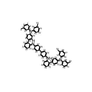 Cc1cccc(N(c2ccc(-c3ccccc3Nc3ccc(-c4ccc(Nc5ccccc5-c5ccc(N(c6cccc(C)c6)c6cccc(C)c6)cc5)cc4)cc3)cc2)c2cccc(C)c2)c1